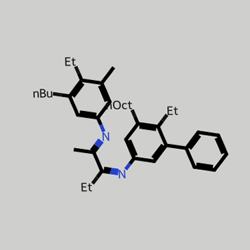 CCCCCCCCc1cc(N=C(CC)C(C)=Nc2cc(C)c(CC)c(CCCC)c2)cc(-c2ccccc2)c1CC